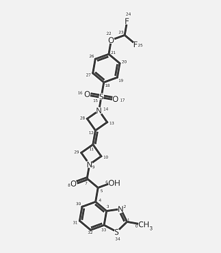 Cc1nc2c(C(O)C(=O)N3CC(=C4CN(S(=O)(=O)c5ccc(OC(F)F)cc5)C4)C3)cccc2s1